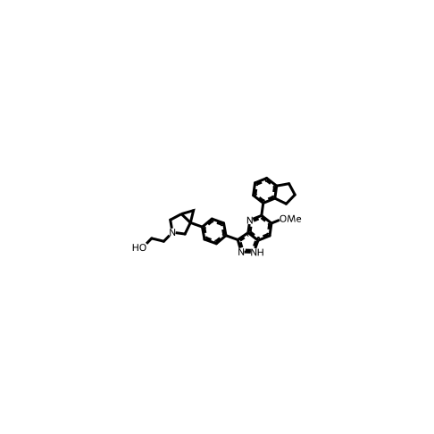 COc1cc2[nH]nc(-c3ccc(C45CC4CN(CCO)C5)cc3)c2nc1-c1cccc2c1CCC2